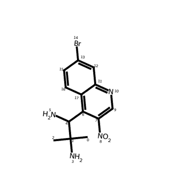 CC(C)(N)C(N)c1c([N+](=O)[O-])cnc2cc(Br)ccc12